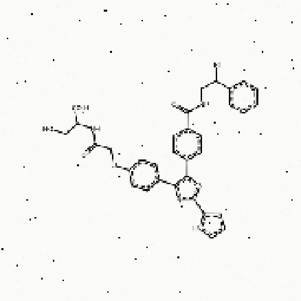 CCC(CNC(=O)c1ccc(-c2sc(-c3ccc[nH]3)nc2-c2ccc(OCC(=O)NC(CO)C(=O)O)cc2)cc1)c1ccccc1